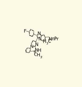 CCCN(C)Cc1ccn2c(-c3ccnc(N[C@@H](C)c4ccccc4)n3)c(-c3ccc(F)cc3)nc2c1